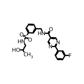 CC(O)CNS(=O)(=O)c1cccc(CNC(=O)c2cnc(-c3cccc(F)c3)nc2)c1